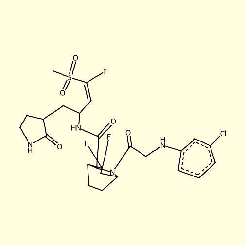 CS(=O)(=O)C(F)=CC(CC1CCNC1=O)NC(=O)C1C2CCC(CC2(F)F)N1C(=O)CNc1cccc(Cl)c1